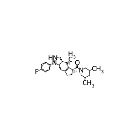 CC1CC(C)CN(C(=O)[C@H]2CCC3=C2[C@@H](C)C2=CNN(c4ccc(F)cc4)C2=C3)C1